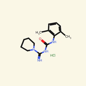 Cc1cccc(C)c1NC(=O)NC(=N)N1CCCCC1.Cl